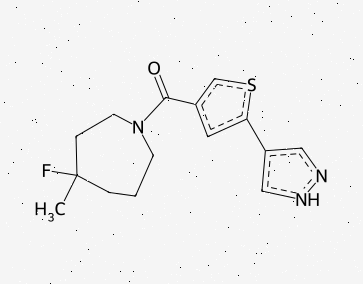 CC1(F)CCCN(C(=O)c2csc(-c3cn[nH]c3)c2)CC1